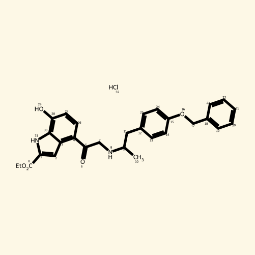 CCOC(=O)c1cc2c(C(=O)CNC(C)Cc3ccc(OCc4ccccc4)cc3)ccc(O)c2[nH]1.Cl